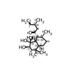 C=C[C@@H](C)CC(=O)[C@@H]1[C@@H](C)CC[C@H]2C(C)(C)CC(O)C(O)(O)[C@]12C